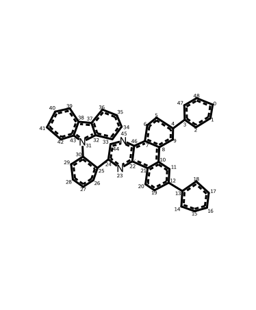 c1ccc(-c2ccc3c(c2)c2cc(-c4ccccc4)ccc2c2nc(-c4ccccc4-n4c5ccccc5c5ccccc54)cnc32)cc1